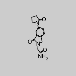 NC(=O)CN1Cc2ccc(N3CCCC3=O)cc2C1=O